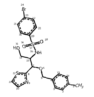 Cc1ccc(COC(c2nccs2)C(CO)NS(=O)(=O)c2ccc(Br)cc2)cc1